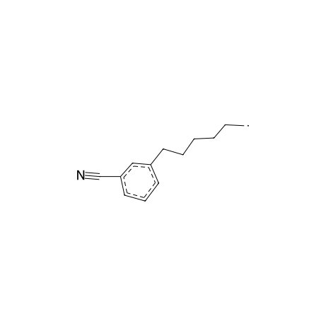 [CH2]CCCCCc1cccc(C#N)c1